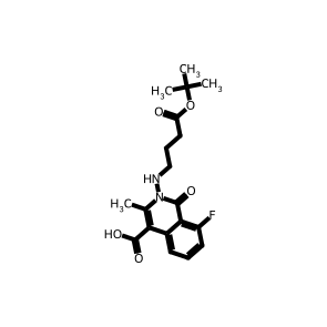 Cc1c(C(=O)O)c2cccc(F)c2c(=O)n1NCCCC(=O)OC(C)(C)C